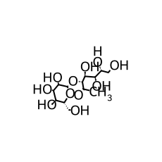 CC(=O)[C@H](O[C@@H]1O[C@H](CO)[C@@H](O)[C@H](O)[C@H]1O)[C@@H](O)[C@H](O)[C@H](O)CO